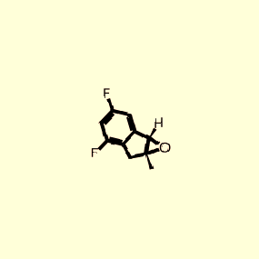 C[C@@]12Cc3c(F)cc(F)cc3[C@@H]1O2